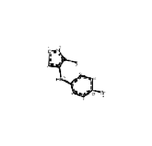 Cc1nocc1Nc1ccc(Br)cc1